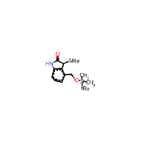 CSC1C(=O)Nc2cccc(CO[Si](C)(C)C(C)(C)C)c21